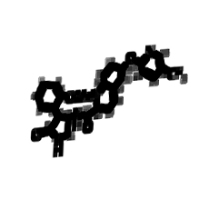 COc1ccccc1C1C(=O)NCC1NC(=O)c1ccc2cc(Oc3ccc(C(F)(F)F)cn3)ccc2n1